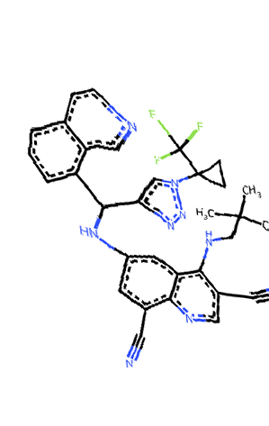 CC(C)(C)CNc1c(C#N)cnc2c(C#N)cc(NC(c3cn(C4(C(F)(F)F)CC4)nn3)c3cccc4ccncc34)cc12